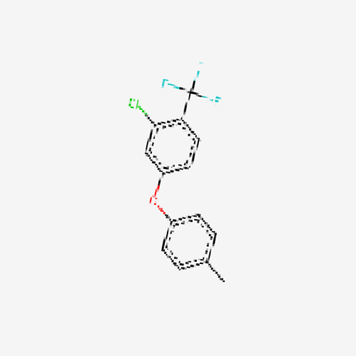 Cc1ccc(Oc2ccc(C(F)(F)F)c(Cl)c2)cc1